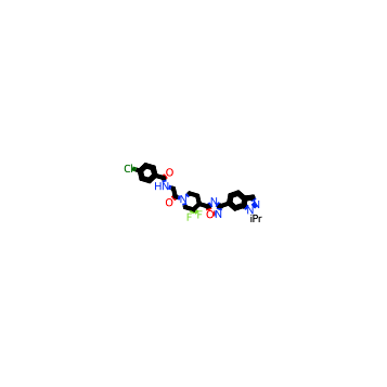 CC(C)n1ncc2ccc(-c3noc(C4CCN(C(=O)CNC(=O)c5ccc(Cl)cc5)CC4(F)F)n3)cc21